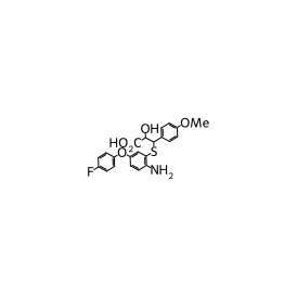 COc1ccc(C(Sc2cc(Oc3ccc(F)cc3)ccc2N)C(O)C(=O)O)cc1